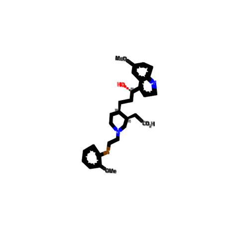 COc1ccc2nccc([C@@H](O)CC[C@@H]3CCN(CCSc4ccccc4OC)C[C@@H]3CC(=O)O)c2c1